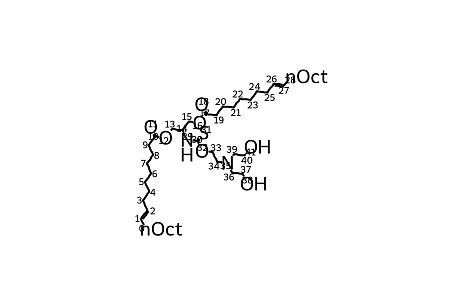 CCCCCCCCC=CCCCCCCCC(=O)OCC(COC(=O)CCCCCCCC=CCCCCCCCC)NC(=S)OCCN(CCO)CCO